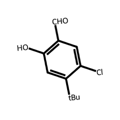 CC(C)(C)c1cc(O)c(C=O)cc1Cl